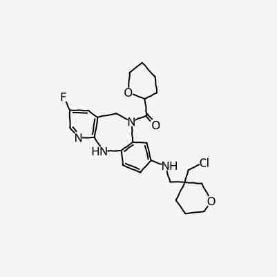 O=C(C1CCCCO1)N1Cc2cc(F)cnc2Nc2ccc(NCC3(CCl)CCCOC3)cc21